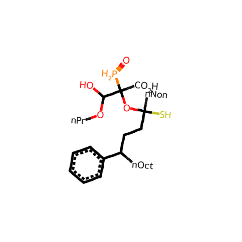 CCCCCCCCCC(S)(CCC(CCCCCCCC)c1ccccc1)OC([PH2]=O)(C(=O)O)C(O)OCCC